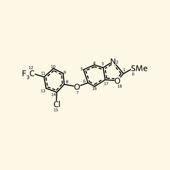 CSc1nc2ccc(Oc3ccc(C(F)(F)F)cc3Cl)cc2o1